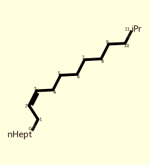 CCCCCCCC/C=C\CCCCCCCC(C)C